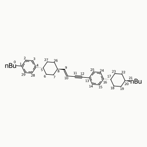 CCCCc1ccc([C@H]2CC[C@H](C=CC#Cc3ccc([C@H]4CC[C@H](CCCC)CC4)cc3)CC2)cc1